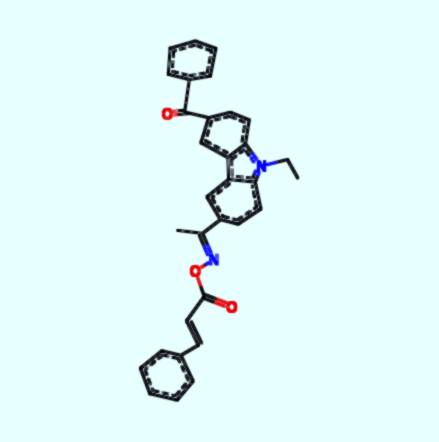 CCn1c2ccc(C(=O)c3ccccc3)cc2c2cc(/C(C)=N/OC(=O)/C=C/c3ccccc3)ccc21